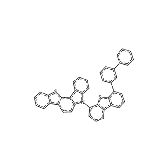 c1ccc(-c2cccc(-c3cccc4c3sc3c(-n5c6ccccc6c6c7sc8ccccc8c7ccc65)cccc34)c2)cc1